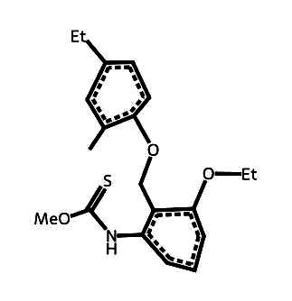 CCOc1cccc(NC(=S)OC)c1COc1ccc(CC)cc1C